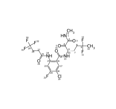 CNC(=O)C(=O)[C@H](CCC(C)(F)F)NC(=O)c1cc(Cl)c(F)cc1NC(=O)CCC(F)(F)F